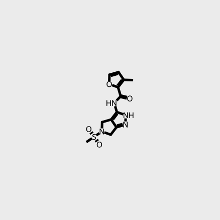 Cc1ccoc1C(=O)Nc1[nH]nc2c1CN(S(C)(=O)=O)C2